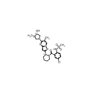 Cc1cn2nc([C@@H]3CCCCN3C(=O)c3cc(Cl)ccc3NS(C)(=O)=O)cc2nc1N1C[C@@H](C)[C@H](O)C1